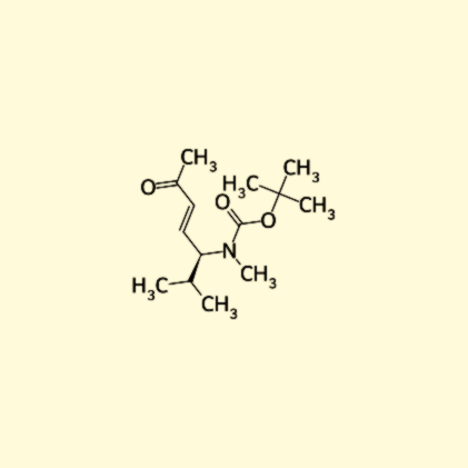 CC(=O)/C=C/[C@H](C(C)C)N(C)C(=O)OC(C)(C)C